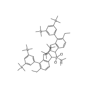 CCc1ccc2c(c1-c1cc([Si](C)(C)C)cc([Si](C)(C)C)c1)C=C(C(C)C)[CH]2[Zr]([Cl])([Cl])([CH]1C(C(C)C)=Cc2c1ccc(CC)c2-c1cc([Si](C)(C)C)cc([Si](C)(C)C)c1)[SiH](C)C